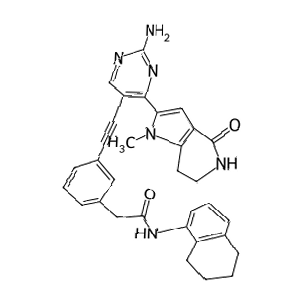 Cn1c(-c2nc(N)ncc2C#Cc2cccc(CC(=O)Nc3cccc4c3CCCC4)c2)cc2c1CCNC2=O